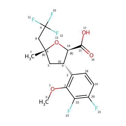 COc1c([C@@H]2C[C@](C)(CC(F)(F)F)O[C@H]2C(=O)O)ccc(F)c1F